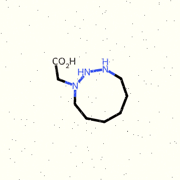 O=C(O)CN1CCCCCCNN1